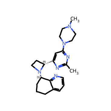 Cc1nc([C@H]2CCN2[C@H]2CCCc3cccnc32)cc(N2CCN(C)CC2)n1